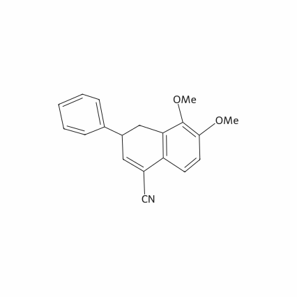 COc1ccc2c(c1OC)CC(c1ccccc1)C=C2C#N